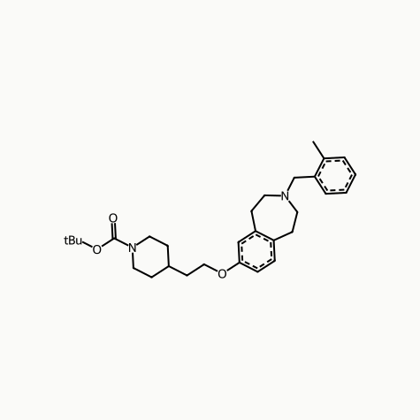 Cc1ccccc1CN1CCc2ccc(OCCC3CCN(C(=O)OC(C)(C)C)CC3)cc2CC1